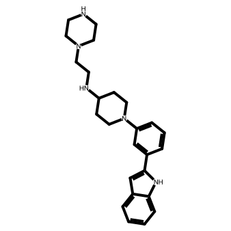 c1cc(-c2cc3ccccc3[nH]2)cc(N2CCC(NCCN3CCNCC3)CC2)c1